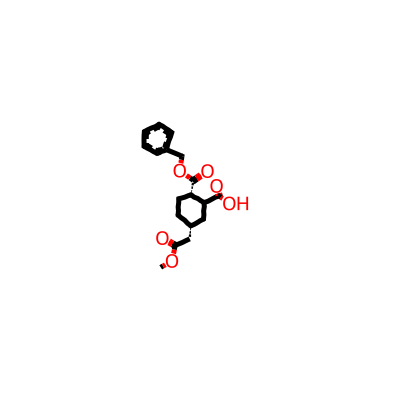 COC(=O)C[C@@H]1CC[C@H](C(=O)OCc2ccccc2)C(C(=O)O)C1